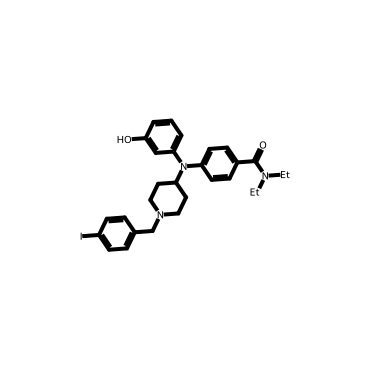 CCN(CC)C(=O)c1ccc(N(c2cccc(O)c2)C2CCN(Cc3ccc(I)cc3)CC2)cc1